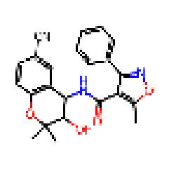 Cc1onc(-c2ccccc2)c1C(=O)NC1c2cc(C#N)ccc2OC(C)(C)C1O